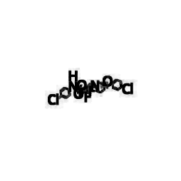 O=C(Nc1ccc(Cl)cc1)O[C@@H](CN1CCC[C@@H](Oc2ccc(Cl)cc2)C1)C(F)(F)F